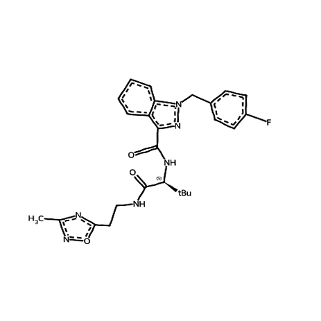 Cc1noc(CCNC(=O)[C@@H](NC(=O)c2nn(Cc3ccc(F)cc3)c3ccccc23)C(C)(C)C)n1